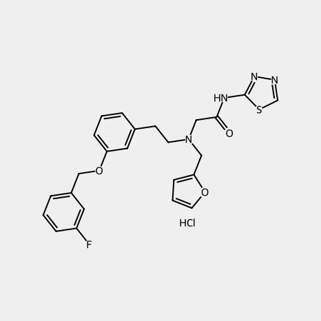 Cl.O=C(CN(CCc1cccc(OCc2cccc(F)c2)c1)Cc1ccco1)Nc1nncs1